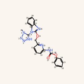 CN1N=NNC1n1c(OCc2cccc(NC(=O)Oc3ccccc3)n2)nc2ccccc21